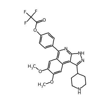 COc1cc2c(-c3ccc(OC(=O)C(F)(F)F)cc3)nc3[nH]nc(C4CCNCC4)c3c2cc1OC